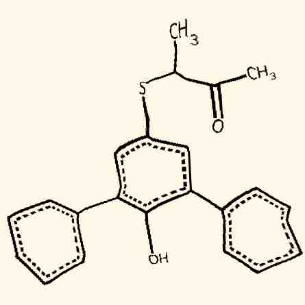 CC(=O)C(C)Sc1cc(-c2ccccc2)c(O)c(-c2ccccc2)c1